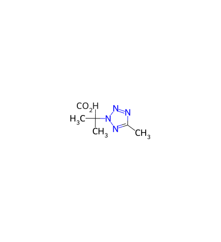 Cc1nnn(C(C)(C)C(=O)O)n1